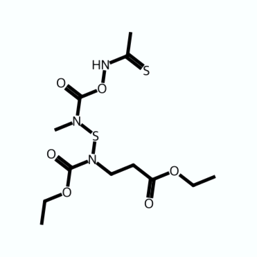 CCOC(=O)CCN(SN(C)C(=O)ONC(C)=S)C(=O)OCC